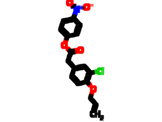 C=CCOc1ccc(CC(=O)Oc2ccc([N+](=O)[O-])cc2)cc1Cl